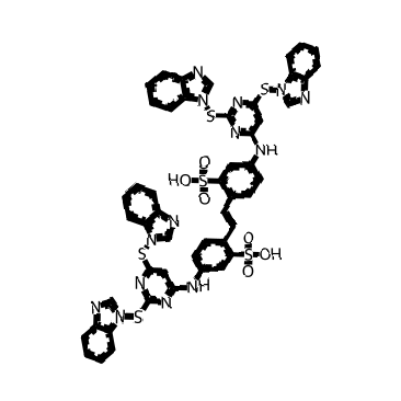 O=S(=O)(O)c1cc(Nc2cc(Sn3cnc4ccccc43)nc(Sn3cnc4ccccc43)n2)ccc1C=Cc1ccc(Nc2cc(Sn3cnc4ccccc43)nc(Sn3cnc4ccccc43)n2)cc1S(=O)(=O)O